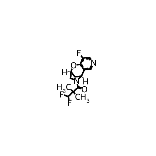 CC(C)(C(=O)N1C[C@@H]2C[C@H]1c1cncc(F)c1O2)C(F)F